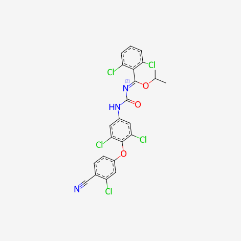 CC(C)O/C(=N\C(=O)Nc1cc(Cl)c(Oc2ccc(C#N)c(Cl)c2)c(Cl)c1)c1c(Cl)cccc1Cl